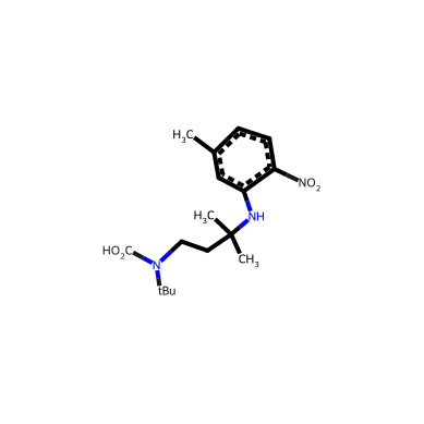 Cc1ccc([N+](=O)[O-])c(NC(C)(C)CCN(C(=O)O)C(C)(C)C)c1